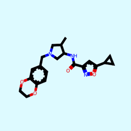 CC1CN(Cc2ccc3c(c2)OCCO3)CC1NC(=O)c1cc(C2CC2)on1